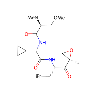 CN[C@@H](COC)C(=O)N[C@H](C(=O)N[C@@H](CC(C)C)C(=O)[C@@]1(C)CO1)C1CC1